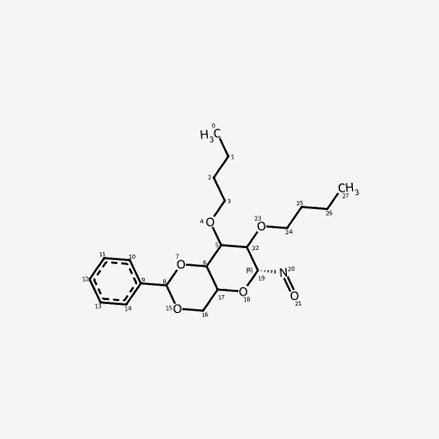 CCCCOC1C2OC(c3ccccc3)OCC2O[C@@H](N=O)C1OCCCC